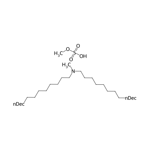 CCCCCCCCCCCCCCCCCCN(C)CCCCCCCCCCCCCCCCCC.COS(=O)(=O)O